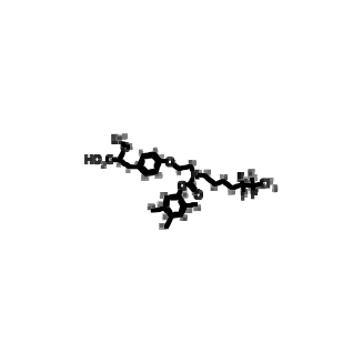 CCOC(Cc1ccc(OCCN(CCCCC(F)(F)C(F)(F)C(F)(F)F)C(=O)Oc2cc(C)c(C)cc2C)cc1)C(=O)O